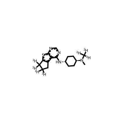 [2H]C([2H])([2H])N(C)[C@H]1CC[C@H](Nc2ncnc3sc4c(c23)CC([2H])([2H])C4([2H])[2H])CC1